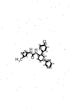 Cc1cc(NC(=O)NC2CCN(c3cnccn3)CC2c2ccc(Cl)cn2)sn1